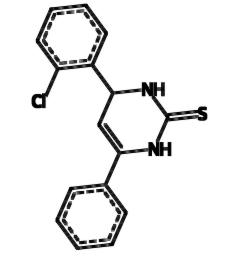 S=C1NC(c2ccccc2)=CC(c2ccccc2Cl)N1